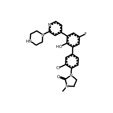 CN1CCN(c2ccc(-c3cc(F)cc(-c4ccnc(N5CCNCC5)c4)c3O)cc2Cl)C1=O